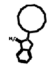 C=C1c2ccccc2CN1C1CCCCCCCCCCC1